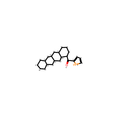 O=C(c1ccc[pH]1)C1CCCC2CC3CC4CCCCC4CC3CC21